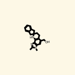 Cc1nc2c3c(c(CO)cc2n1C)CCC1(Cc2ccccc2C1)N3